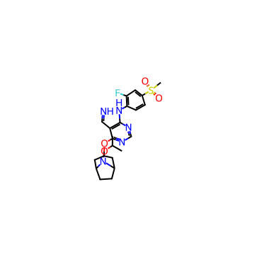 CC(C)ON1C2CCC1CC(Oc1ncnc(Nc3ccc(S(C)(=O)=O)cc3F)c1C=N)C2